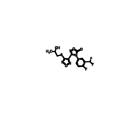 CC(O)CSc1nonc1-c1noc(=O)n1-c1ccc(F)c(C(F)F)c1